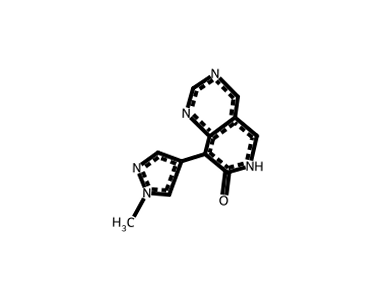 Cn1cc(-c2c(=O)[nH]cc3cncnc23)cn1